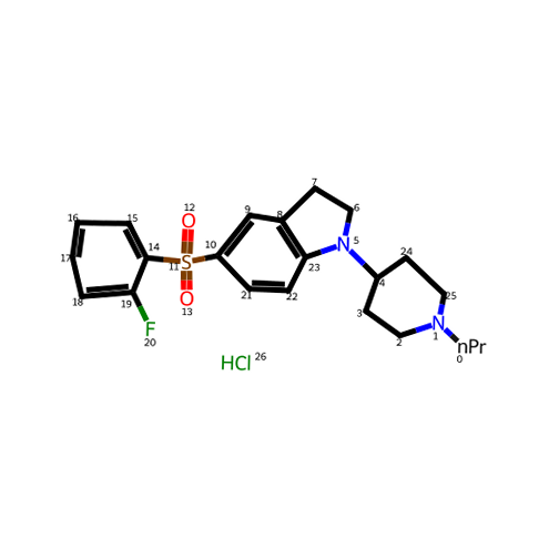 CCCN1CCC(N2CCc3cc(S(=O)(=O)c4ccccc4F)ccc32)CC1.Cl